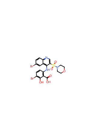 O=C(O)c1c(Nc2c(S(=O)(=O)N3CCOCC3)cnc3ccc(Br)cc23)ccc(Br)c1O